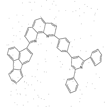 c1ccc(-c2cc(-c3ccc(-c4ccc5ccc6ccc(-c7ccc8c9c(cccc79)-c7ccccc7-8)nc6c5n4)cc3)cc(-c3ccccc3)n2)cc1